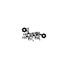 CN/C(=N\CN(C)C(=N)NC(=N)Nc1ccccc1)N(C)C(=N)NCc1ccccc1